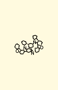 N#Cc1cc(-c2ccccc2-n2c3ccccc3c3ccc4oc5ccccc5c4c32)cc(-n2c3ccccc3c3ccc4oc5ccccc5c4c32)c1